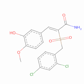 COc1ccc(/C=C(/C(N)=O)S(=O)(=O)Cc2ccc(Cl)cc2Cl)cc1O